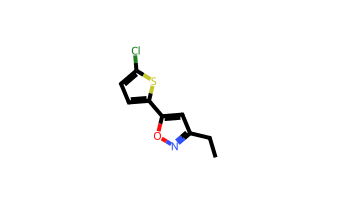 CCc1cc(-c2ccc(Cl)s2)on1